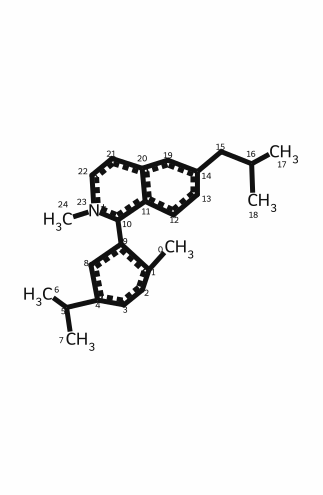 Cc1ccc(C(C)C)cc1-c1c2ccc(CC(C)C)cc2cc[n+]1C